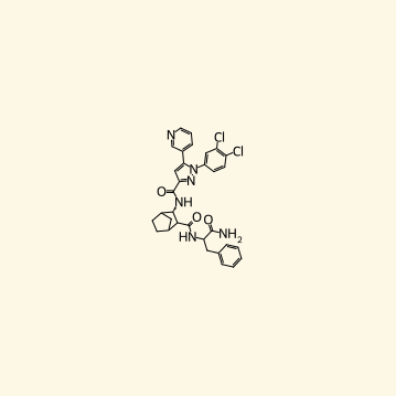 NC(=O)C(Cc1ccccc1)NC(=O)C1C2CCC(C2)[C@H]1NC(=O)c1cc(-c2cccnc2)n(-c2ccc(Cl)c(Cl)c2)n1